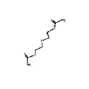 NC(=O)OCCOCCOC(N)=O